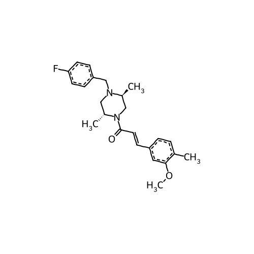 COc1cc(/C=C/C(=O)N2C[C@H](C)N(Cc3ccc(F)cc3)C[C@H]2C)ccc1C